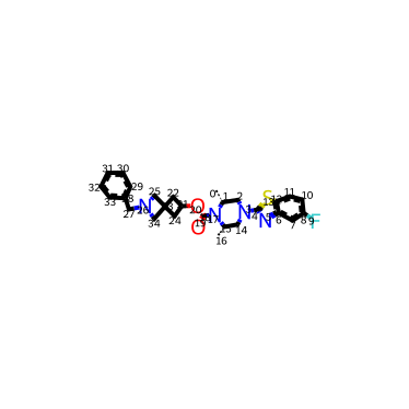 C[C@@H]1CN(c2nc3cc(F)ccc3s2)C[C@H](C)N1C(=O)OC1CC2(C1)CN(Cc1ccccc1)C2